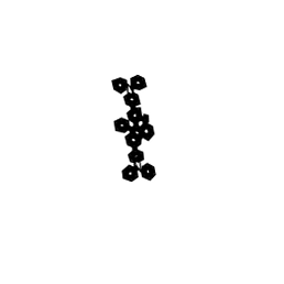 CC1(C)c2cc(-c3ccc(N(c4ccccc4)c4ccccc4)cc3)ccc2-c2c(-c3ccccc3)c3ccc(-c4ccc(N(c5ccccc5)c5ccccc5)cc4)cc3c3cccc1c23